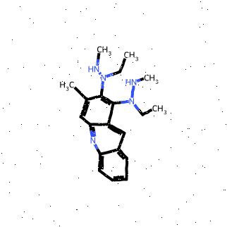 CCN(NC)c1c(C)cc2nc3ccccc3cc2c1N(CC)NC